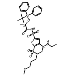 CCN[C@H]1CC(CCCOC)S(=O)(=O)c2sc(S(=O)(=O)NC(=O)[C@H](C)O[Si](c3ccccc3)(c3ccccc3)C(C)(C)C)cc21